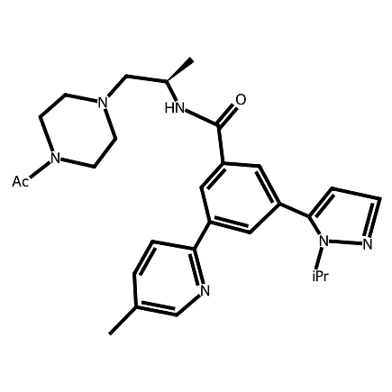 CC(=O)N1CCN(C[C@@H](C)NC(=O)c2cc(-c3ccc(C)cn3)cc(-c3ccnn3C(C)C)c2)CC1